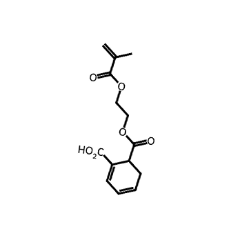 C=C(C)C(=O)OCCOC(=O)C1CC=CC=C1C(=O)O